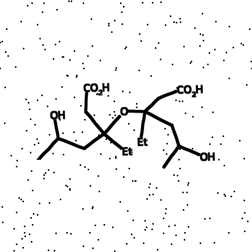 CCC(CC(=O)O)(CC(C)O)OC(CC)(CC(=O)O)CC(C)O